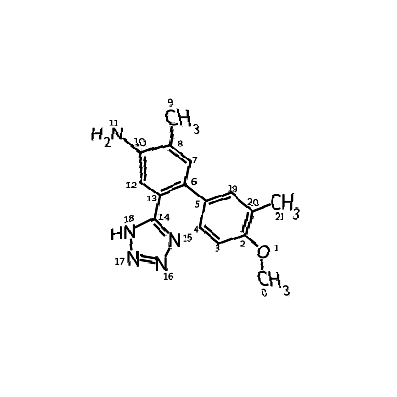 COc1ccc(-c2cc(C)c(N)cc2-c2nnn[nH]2)cc1C